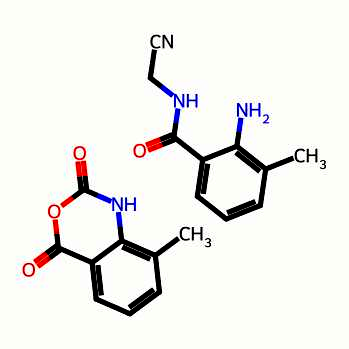 Cc1cccc(C(=O)NCC#N)c1N.Cc1cccc2c(=O)oc(=O)[nH]c12